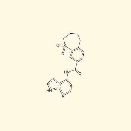 O=C(Nc1ccnc2[nH]ccc12)c1ccc2c(c1)S(=O)(=O)CCCC2